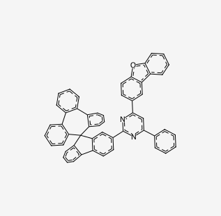 c1ccc(-c2cc(-c3ccc4oc5ccccc5c4c3)nc(-c3ccc4c(c3)C3(c5ccccc5-c5ccccc5-c5ccccc53)c3ccccc3-4)n2)cc1